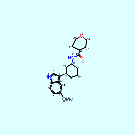 COc1ccc2[nH]cc([C@@H]3CCC[C@H](NC(=O)C4CCOCC4)C3)c2c1